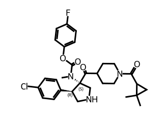 CN(C(=O)Oc1ccc(F)cc1)[C@]1(C(=O)C2CCN(C(=O)C3CC3(C)C)CC2)CNC[C@H]1c1ccc(Cl)cc1